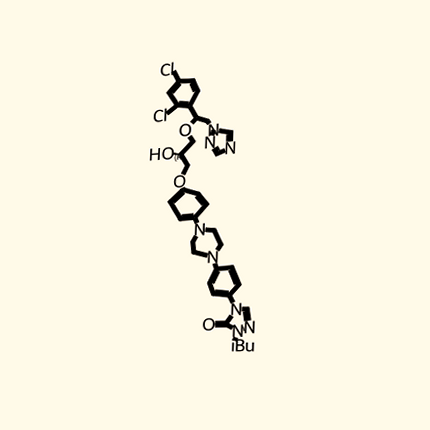 CCC(C)n1ncn(-c2ccc(N3CCN(c4ccc(OC[C@H](O)COC(Cn5cncn5)c5ccc(Cl)cc5Cl)cc4)CC3)cc2)c1=O